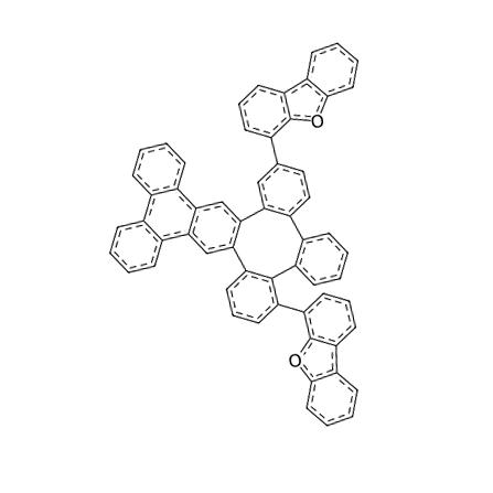 c1ccc2c(c1)-c1ccc(-c3cccc4c3oc3ccccc34)cc1-c1cc3c4ccccc4c4ccccc4c3cc1-c1cccc(-c3cccc4c3oc3ccccc34)c1-2